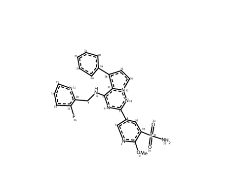 COc1ncc(-c2nc(NCc3ncccc3F)c3c(-c4ccccc4)ccn3n2)cc1S(N)(=O)=O